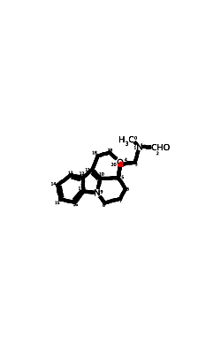 CN(C=O)CCC12CCCn3c1c(c1ccccc13)CCO2